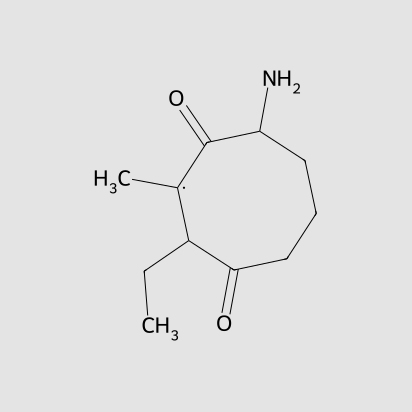 CCC1[C](C)C(=O)C(N)CCCC1=O